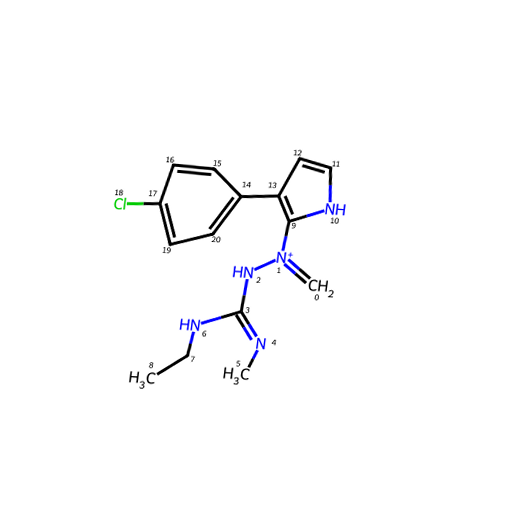 C=[N+](NC(=NC)NCC)c1[nH]ccc1-c1ccc(Cl)cc1